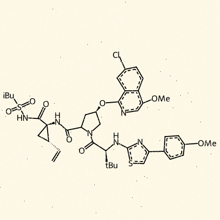 C=C[C@@H]1C[C@]1(NC(=O)C1C[C@@H](Oc2ncc(OC)c3ccc(Cl)cc23)CN1C(=O)[C@@H](Nc1nc(-c2ccc(OC)cc2)cs1)C(C)(C)C)C(=O)NS(=O)(=O)C(C)CC